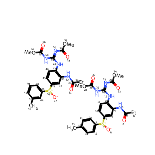 CCC(=O)Nc1cc([S+]([O-])c2ccc(C)cc2)ccc1NC(=NC(=O)OC)NC(=O)OC.CCC(=O)Nc1cc([S+]([O-])c2cccc(C)c2)ccc1NC(=NC(=O)OC)NC(=O)OC